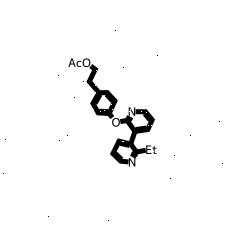 CCc1ncccc1-c1cccnc1Oc1ccc(CCOC(C)=O)cc1